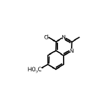 Cc1nc(Cl)c2cc(C(=O)O)ccc2n1